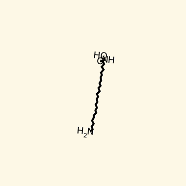 NCCCCCCCCCCCCCCCCCCCCCCCCCC(=O)NO